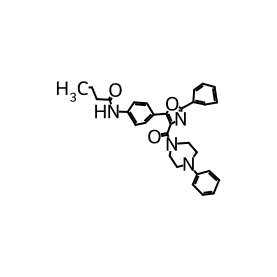 CCCC(=O)Nc1ccc(-c2oc(-c3ccccc3)nc2C(=O)N2CCN(c3ccccc3)CC2)cc1